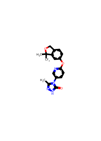 Cc1n[nH]c(=O)n1-c1ccc(Oc2ccc3c(c2)C(C)(C(F)(F)F)OC3)nc1